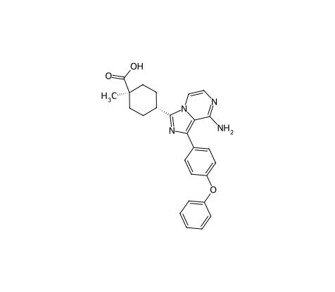 C[C@]1(C(=O)O)CC[C@H](c2nc(-c3ccc(Oc4ccccc4)cc3)c3c(N)nccn32)CC1